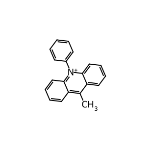 Cc1c2ccccc2[n+](-c2ccccc2)c2ccccc12